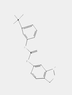 O=C(Nc1cccc(C(F)(F)F)c1)Nc1ccc2c(c1)B(O)OC2